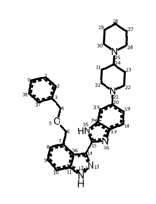 c1ccc(COCc2cccc3[nH]nc(-c4nc5ccc(N6CCC(N7CCCCC7)CC6)cc5[nH]4)c23)cc1